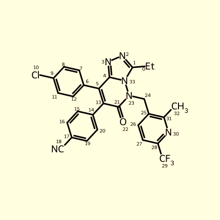 CCc1nnc2c(-c3ccc(Cl)cc3)c(-c3ccc(C#N)cc3)c(=O)n(Cc3ccc(C(F)(F)F)nc3C)n12